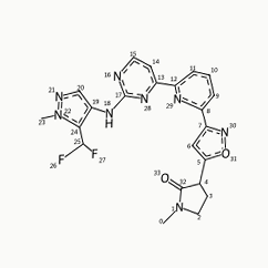 CN1CCC(c2cc(-c3cccc(-c4ccnc(Nc5cnn(C)c5C(F)F)n4)n3)no2)C1=O